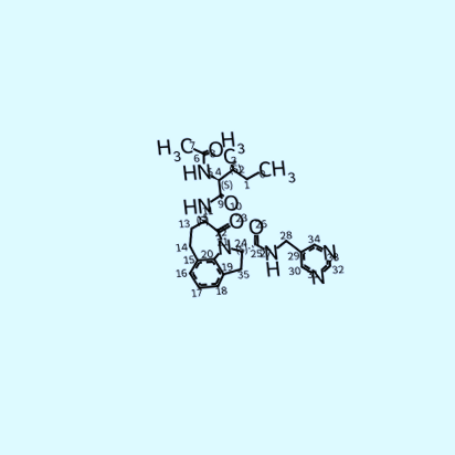 CC[C@H](C)[C@H](NC(C)=O)C(=O)N[C@H]1CCc2cccc3c2N(C1=O)[C@H](C(=O)NCc1cncnc1)C3